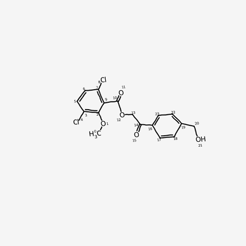 COc1c(Cl)ccc(Cl)c1C(=O)OCC(=O)c1ccc(CO)cc1